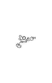 O=C(NCC12CC3CC(CC(C3)C1)C2)c1cc(S(=O)(=O)CC2CCNCC2)ccc1Cl